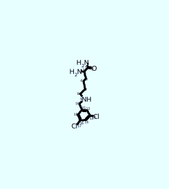 NC(=O)C(N)CCCCNCc1cc(Cl)cc(Cl)c1